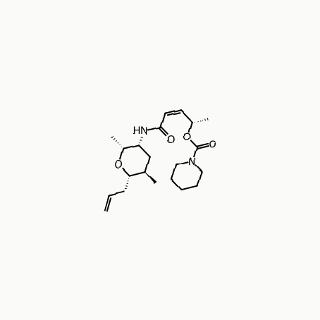 C=CC[C@@H]1O[C@H](C)[C@H](NC(=O)/C=C\[C@H](C)OC(=O)N2CCCCC2)C[C@H]1C